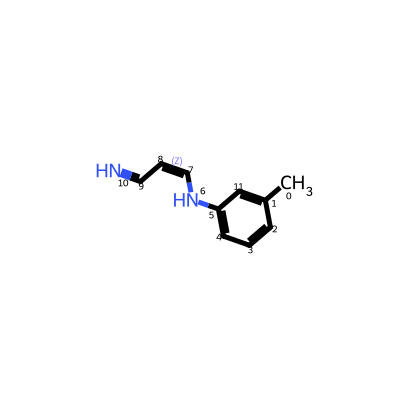 Cc1cccc(N/C=C\C=N)c1